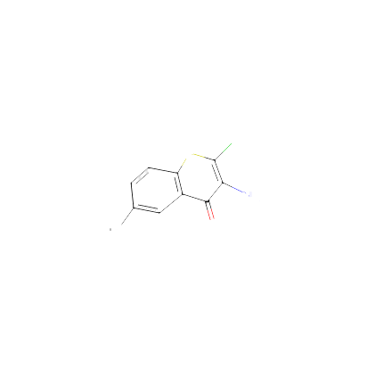 CCCCc1ccc2sc(Cl)c(N)c(=O)c2c1